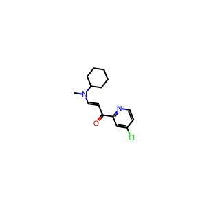 CN(/C=C/C(=O)c1cc(Cl)ccn1)C1CCCCC1